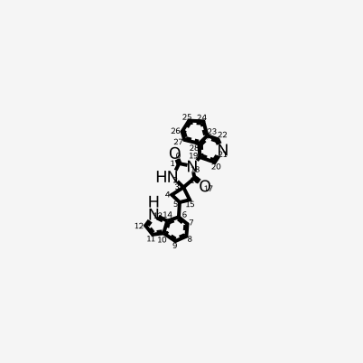 O=C1NC2(CC(c3cccc4cc[nH]c34)C2)C(=O)N1c1cncc2ccccc12